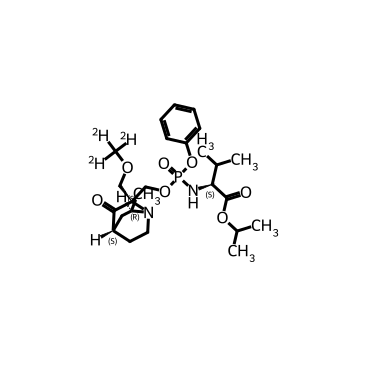 [2H]C([2H])([2H])OC[C@]1(COP(=O)(N[C@H](C(=O)OC(C)C)C(C)C)Oc2ccccc2)C(=O)[C@H]2CCN1[C@H](C)C2